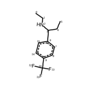 CCNC(CC)c1ccc(C(F)(F)F)cc1